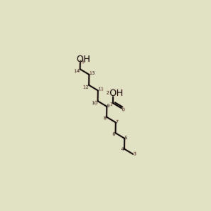 C=CO.CCCCCCCCCCCCO